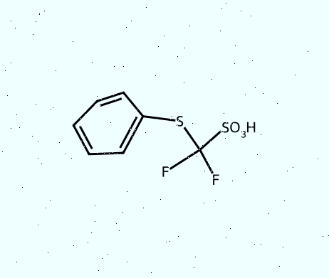 O=S(=O)(O)C(F)(F)Sc1ccccc1